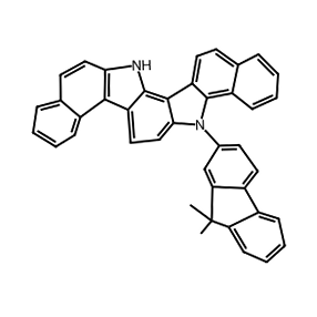 CC1(C)c2ccccc2-c2ccc(-n3c4ccc5c([nH]c6ccc7ccccc7c65)c4c4ccc5ccccc5c43)cc21